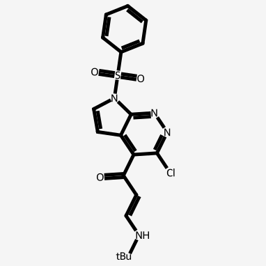 CC(C)(C)NC=CC(=O)c1c(Cl)nnc2c1ccn2S(=O)(=O)c1ccccc1